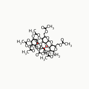 CC(=O)OC[C@H]1O[C@@H](N)[C@H](OC(C)=O)[C@@H](OC(C)=O)[C@@H]1O[C@@H]1O[C@H](COC(C)=O)[C@@H](O[C@@H]2O[C@H](COC(C)=O)[C@@H](OC(C)=O)[C@H](OC(C)=O)[C@H]2OC(C)=O)[C@H](OC(C)=O)[C@H]1OC(C)=O